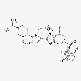 CC(C)N1CCc2c(ccc3cc(-c4nc5cc(C(=O)N6C[C@H]7CC[C@@H]6[C@@H]7N)cc(F)c5n4C)n(CC4CC4)c23)C1